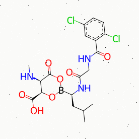 CN[C@H]1C(=O)OB([C@H](CC(C)C)NC(=O)CNC(=O)c2cc(Cl)ccc2Cl)O[C@H]1C(=O)O